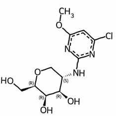 COc1cc(Cl)nc(N[C@H]2CO[C@H](CO)[C@H](O)[C@@H]2O)n1